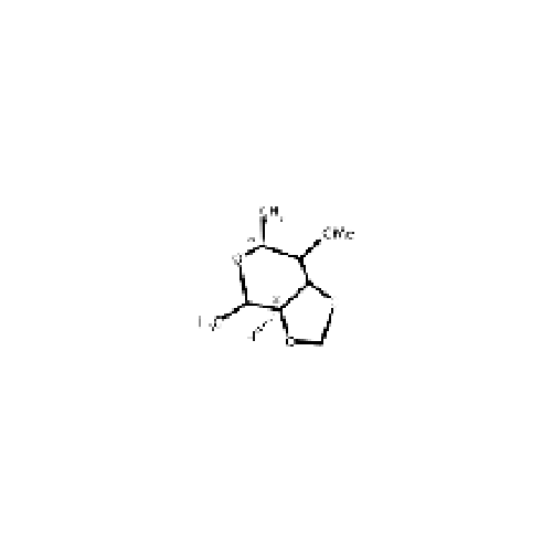 COC1C2OCO[C@H]2C(C)O[C@H]1C